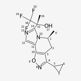 C[C@H]1Cc2c(C3CC3)noc2-c2cnc([C@@](C)(O)C(F)(F)F)n21